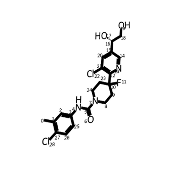 Cc1cc(NC(=O)N2CCC(F)(c3ncc([C@H](O)CO)cc3Cl)CC2)ccc1Cl